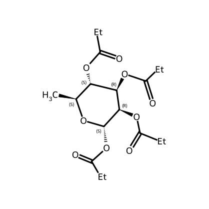 CCC(=O)O[C@@H]1O[C@@H](C)[C@H](OC(=O)CC)[C@@H](OC(=O)CC)[C@H]1OC(=O)CC